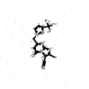 Cc1sc2nc(Cn3ccc(C(F)(F)F)n3)cc(=O)n2c1C#N